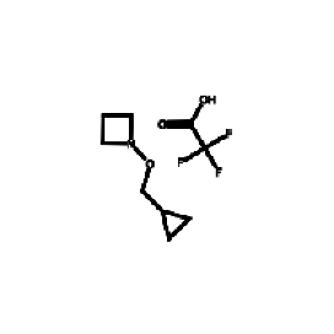 C1CN(OCC2CC2)C1.O=C(O)C(F)(F)F